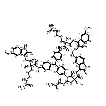 COc1ccc2[nH]c(C)c(CC(=O)[C@](N)(CCCNC(N)=O)C(=O)Nc3ccc(C(c4ccc(NC(=O)[C@@](N)(CCCNC(N)=O)C(=O)Cc5c(C)[nH]c6ccc(OC)cc56)cc4)c4ccc(NC(=O)[C@@](N)(CCCNC(N)=O)C(=O)Cc5c(C)[nH]c6ccc(OC)cc56)cc4)cc3)c2c1